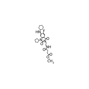 CCOC(=O)CCC(=O)NCCn1c(=O)c2cc(F)c(NC3CCCCC3)cc2n(C2CCCC2)c1=O